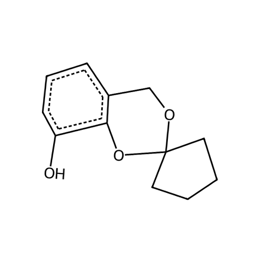 Oc1cccc2c1OC1(CCCC1)OC2